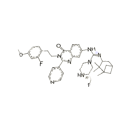 COc1ccc(CCn2c(-c3ccncc3)nc3cc(N/C(=N/C4CC5CC(C)(C5)C4(C)C)N4CCN[C@@H](CF)C4)ccc3c2=O)c(F)c1